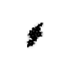 CCCn1cc(S(=O)(=O)Nc2cc3cnn(-c4ccc(F)cc4)c3cc2C)c([C@H]2CCNC2)n1